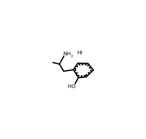 CC(N)Cc1ccccc1O.I